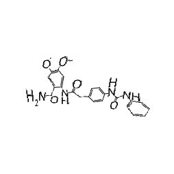 COc1cc(NC(=O)Cc2ccc(NC(=O)Nc3ccccc3)cc2)c(C(N)=O)cc1OC